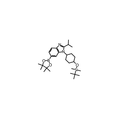 CC(C)c1nc2ccc(B3OC(C)(C)C(C)(C)O3)cc2n1C1CCC(O[Si](C)(C)C(C)(C)C)CC1